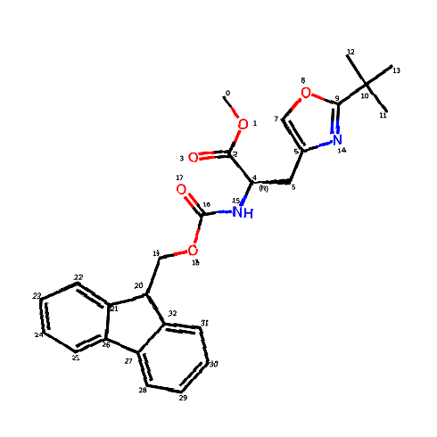 COC(=O)[C@@H](Cc1coc(C(C)(C)C)n1)NC(=O)OCC1c2ccccc2-c2ccccc21